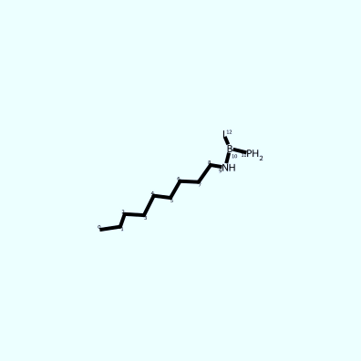 CCCCCCCCCNB(P)I